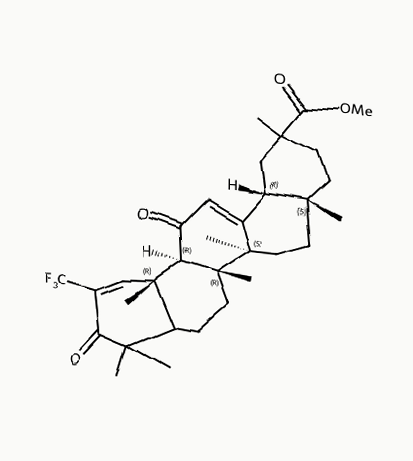 COC(=O)C1(C)CC[C@]2(C)CC[C@]3(C)C(=CC(=O)[C@@H]4[C@@]5(C)C=C(C(F)(F)F)C(=O)C(C)(C)C5CC[C@]43C)[C@@H]2C1